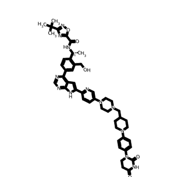 C[C@@H](NC(=O)c1nc(C(C)(C)C)no1)c1ccc(-c2ncnc3[nH]c(-c4ccc(N5CCN(CC6CCN(c7ccc(N8CCC(=O)NC8=O)cc7)CC6)CC5)cn4)cc23)cc1CO